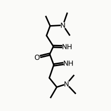 CC(CC(=N)C(=O)C(=N)CC(C)N(C)C)N(C)C